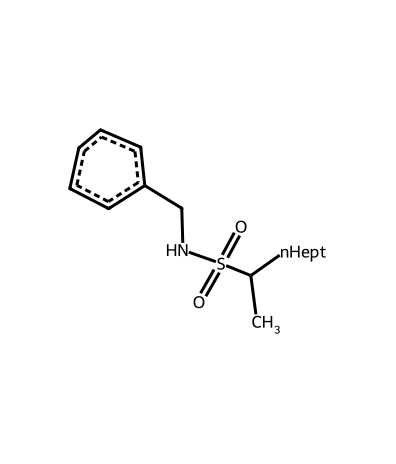 CCCCCCCC(C)S(=O)(=O)NCc1ccccc1